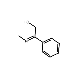 CN=C(CO)c1ccccc1